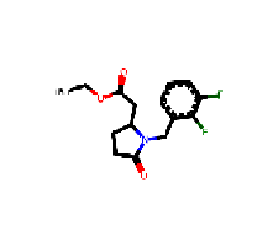 CC(C)(C)COC(=O)CC1CCC(=O)N1Cc1cccc(F)c1F